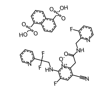 N#Cc1cc(F)c(NCC(F)(F)c2ccccn2)[n+]([O-])c1CC(=O)NCc1ncccc1F.O=S(=O)(O)c1cccc2c(S(=O)(=O)O)cccc12